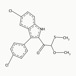 COC(SC)C(=O)c1[nH]c2ccc(Cl)cc2c1-c1ccc(Cl)cc1